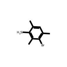 Cc1cc(C)c(Br)c(C)c1[SiH3]